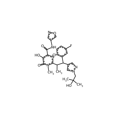 CC(c1nc(C(=O)Nc2cnoc2)c(O)c(=O)n1C)C(c1cnn(CC(C)(C)O)c1)c1cc(F)ccc1Cl